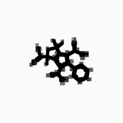 CC1(C)CC(C)(C([N])=O)c2c1c(C(=O)O)n(-c1ccccc1)c2C(=O)O